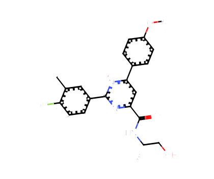 Cc1cc(-c2nc(C(=O)N[C@@H](C)CO)cc(-c3ccc(OC(F)(F)F)cc3)n2)ccc1F